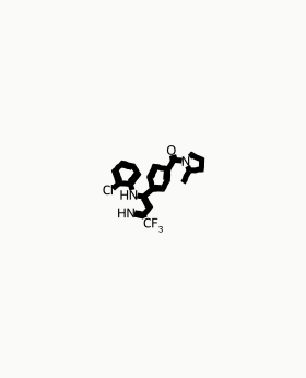 CC1CCCN1C(=O)c1ccc(/C(=C/C(=N)C(F)(F)F)Nc2ccccc2Cl)cc1